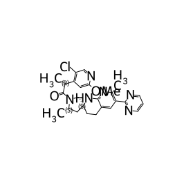 COc1cc([C@@H](C)C(=O)N2C[C@]3(CCc4cc(-c5ncccn5)c(C)nc4N3)C[C@@H]2C)c(Cl)cn1